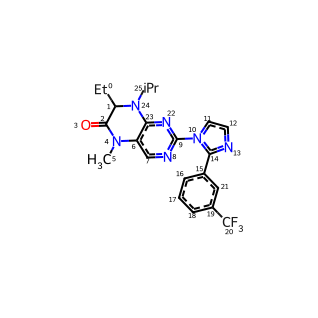 CCC1C(=O)N(C)c2cnc(-n3ccnc3-c3cccc(C(F)(F)F)c3)nc2N1C(C)C